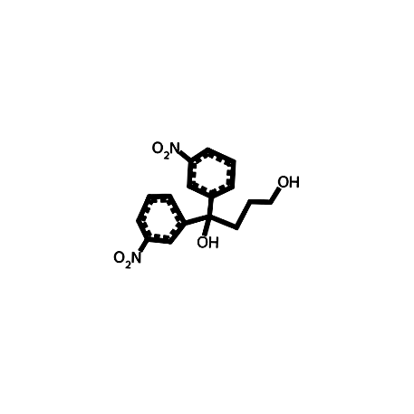 O=[N+]([O-])c1cccc(C(O)(CCCO)c2cccc([N+](=O)[O-])c2)c1